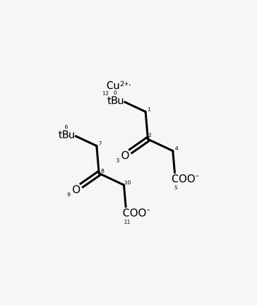 CC(C)(C)CC(=O)CC(=O)[O-].CC(C)(C)CC(=O)CC(=O)[O-].[Cu+2]